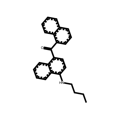 CCCCNc1ccc(C(=O)c2cccc3ccccc23)c2ccccc12